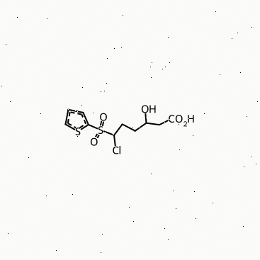 O=C(O)CC(O)CCC(Cl)S(=O)(=O)c1cccs1